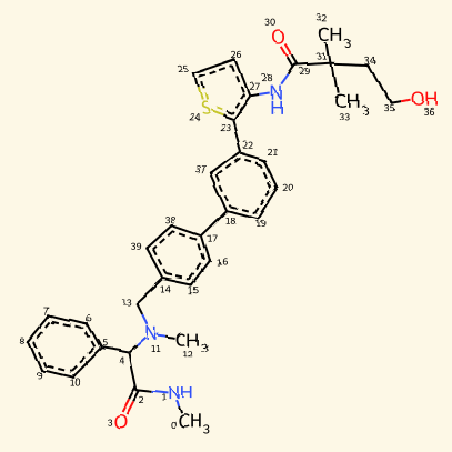 CNC(=O)C(c1ccccc1)N(C)Cc1ccc(-c2cccc(-c3sccc3NC(=O)C(C)(C)CCO)c2)cc1